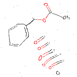 CC(=O)O[C]c1ccccc1.[C]=O.[C]=O.[C]=O.[C]=O.[C]=O.[Cr]